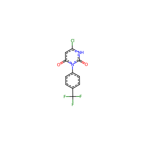 O=c1cc(Cl)[nH]c(=O)n1-c1ccc(C(F)(F)F)cc1